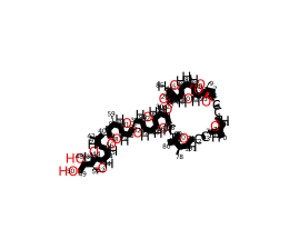 C=C1C[C@@H]2CC[C@@]34C[C@]5(C)O[C@H]6[C@@H](O3)[C@H]3O[C@H](CC[C@@H]3O[C@H]6C5O4)CC(=O)O[C@@H]3[C@@H](C)[C@@H]4O[C@@H]5C[C@]6(C[C@@H]7O[C@]8(C[C@H](C)[C@@H]9O[C@@H]%10[C@@H]([C@@H](O)CO)CO[C@@H]%10C[C@@H]9O8)C[C@H](C)[C@@H]7O6)O[C@@H]5C[C@@H]4O[C@H]3C[C@H]3O[C@@H](CC[C@@H]1O2)C[C@@H](C)C3=C